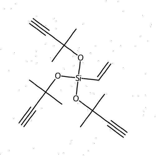 C#CC(C)(C)O[Si](C=C)(OC(C)(C)C#C)OC(C)(C)C#C